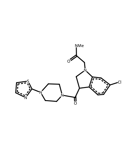 CNC(=O)CN1CC(C(=O)N2CCN(c3nccs3)CC2)c2ccc(Cl)cc21